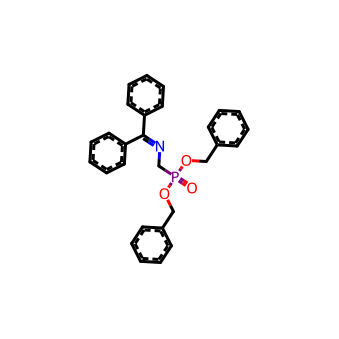 O=P(CN=C(c1ccccc1)c1ccccc1)(OCc1ccccc1)OCc1ccccc1